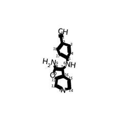 C#Cc1ccc(Nc2c(N)oc3cnccc23)cc1